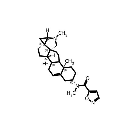 CN1C[C@]23CCC4[C@@H](CC=C5C[C@@H](N(C)C(=O)c6ccno6)CC[C@@]54C)[C@@H]2CC[C@@]32C[C@H]12